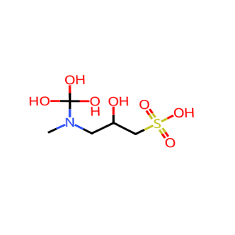 CN(CC(O)CS(=O)(=O)O)C(O)(O)O